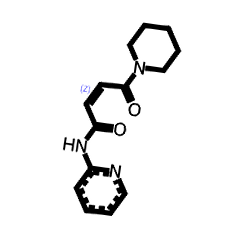 O=C(/C=C\C(=O)N1CCCCC1)Nc1ccccn1